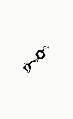 Oc1ccc(OCc2cocn2)cc1